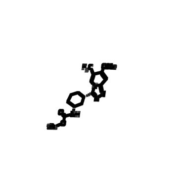 COc1cc2nnc([C@H]3CCC[C@@H](NC(=O)OC(C)(C)C)C3)n2cc1C(F)(F)F